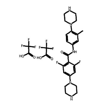 Cc1cc(NC(=O)c2c(F)cc(N3CCNCC3)cc2F)ccc1N1CCNCC1.O=C(O)C(F)(F)F.O=C(O)C(F)(F)F